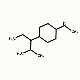 CCC(C(C)C)C1CCC(NC)CC1